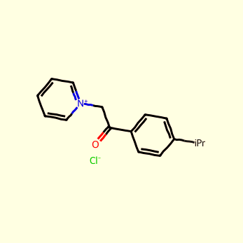 CC(C)c1ccc(C(=O)C[n+]2ccccc2)cc1.[Cl-]